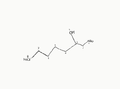 CCCCCC(O)CCCCO